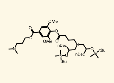 CCCCCCCCCCC(CN(CCCC(=O)Oc1c(OC)cc(C(=O)OCCCN(C)C)cc1OC)CC(CCCCCCCCCC)O[Si](C)(C)C(C)(C)C)O[Si](C)(C)C(C)(C)C